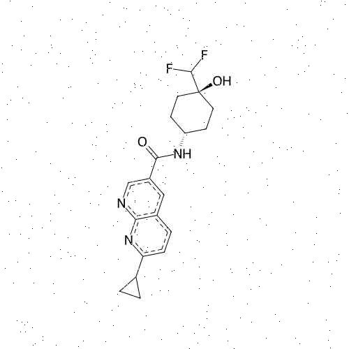 O=C(N[C@H]1CC[C@@](O)(C(F)F)CC1)c1cnc2nc(C3CC3)ccc2c1